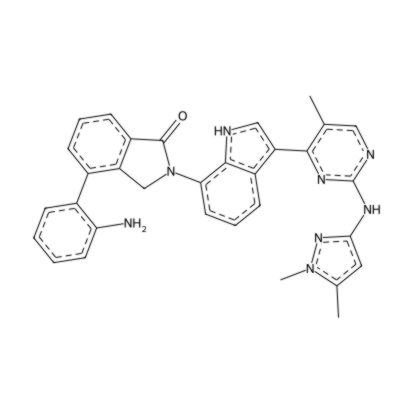 Cc1cnc(Nc2cc(C)n(C)n2)nc1-c1c[nH]c2c(N3Cc4c(cccc4-c4ccccc4N)C3=O)cccc12